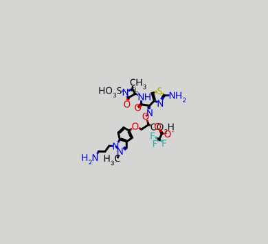 C[C@H]1[C@H](NC(=O)C(=NOC(COc2ccc3c(c2)c[n+](C)n3CCCN)C(=O)O)c2csc(N)n2)C(=O)N1S(=O)(=O)O.O=C([O-])C(F)(F)F